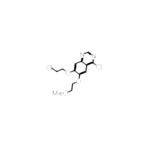 COCCOc1cc2c(Cl)ncnc2cc1OCCCl